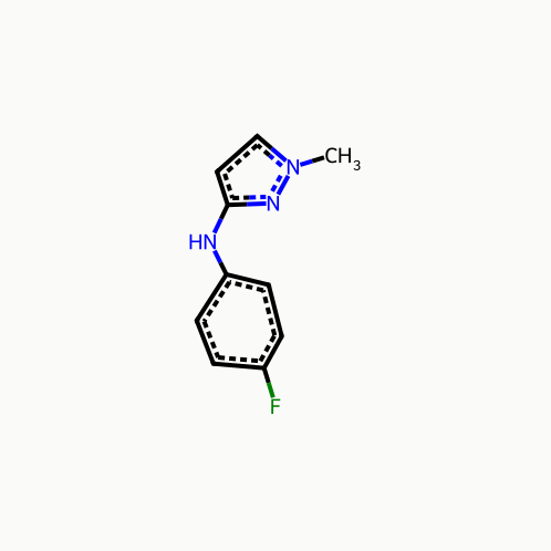 Cn1ccc(Nc2ccc(F)cc2)n1